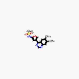 CNS(=O)(=O)Nc1cc(-c2ncnc3cc(OC)c(OC)cc23)co1